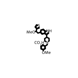 COc1ccc(C(=O)O)c(CN2CCC(c3c[nH]c4ccc(CC(OC)c5ccsc5)cc34)CC2)c1